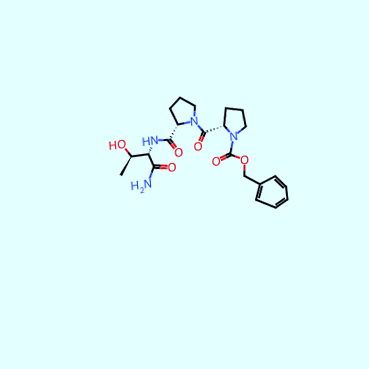 C[C@@H](O)[C@H](NC(=O)[C@@H]1CCCN1C(=O)[C@@H]1CCCN1C(=O)OCc1ccccc1)C(N)=O